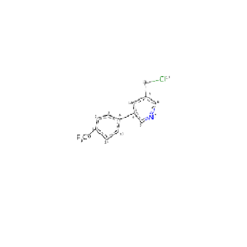 FC(F)(F)c1ccc(-c2cncc(CCl)c2)cc1